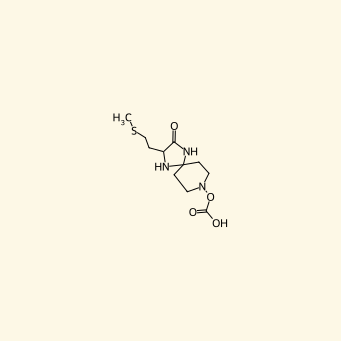 CSCCC1NC2(CCN(OC(=O)O)CC2)NC1=O